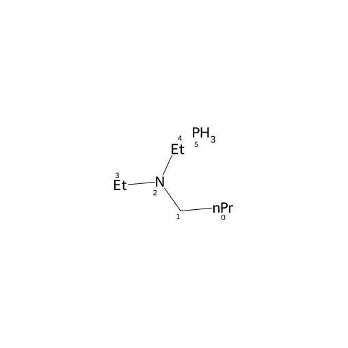 CCCCN(CC)CC.P